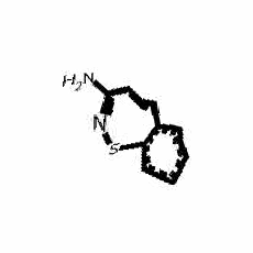 NC1=NSc2ccccc2C=C1